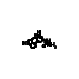 NC(=O)NC1C=C2c3cccc4[nH]cc(c34)C[C@H]2NC1